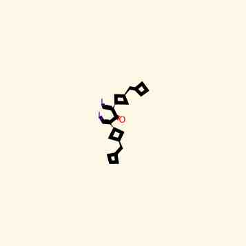 O=C(C(=CI)[C@H]1C[C@H](CC2CCC2)C1)C(=CI)[C@H]1C[C@H](CC2CCC2)C1